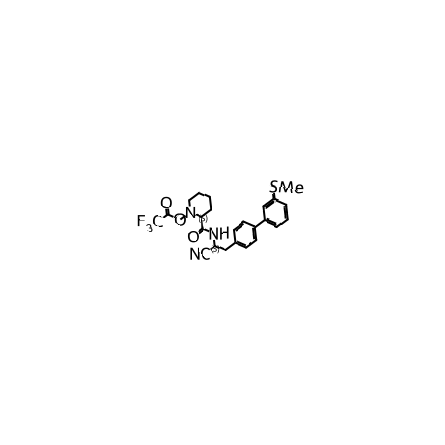 CSc1cccc(-c2ccc(C[C@@H](C#N)NC(=O)[C@@H]3CCCCN3OC(=O)C(F)(F)F)cc2)c1